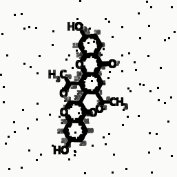 CC(=O)c1cc2c(=O)c3ccc(O)cc3oc2c(C(C)=O)c1-c1coc2cc(O)ccc2c1=O